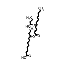 CCCC(O)O.CCCCCCCCCCCC(=O)O.CCCCCCCCCCCC(=O)O